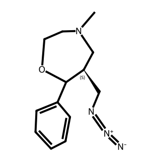 CN1CCOC(c2ccccc2)[C@H](CN=[N+]=[N-])C1